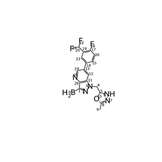 Bc1nn(CC2NN=C(C)O2)c2cc(-c3ccc(F)c(C(F)F)c3)cnc12